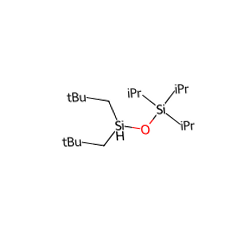 CC(C)[Si](O[SiH](CC(C)(C)C)CC(C)(C)C)(C(C)C)C(C)C